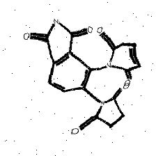 O=C1[N]C(=O)c2c1ccc(N1C(=O)CCC1=O)c2N1C(=O)C=CC1=O